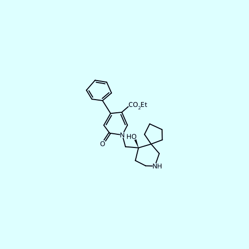 CCOC(=O)c1cn(C[C@@]2(O)CCNCC23CCCC3)c(=O)cc1-c1ccccc1